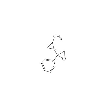 CC1C[C]1C1(c2ccccc2)CO1